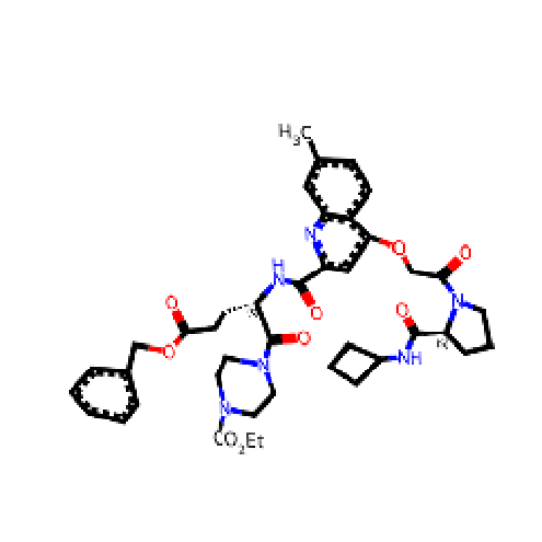 CCOC(=O)N1CCN(C(=O)[C@H](CCC(=O)OCc2ccccc2)NC(=O)c2cc(OCC(=O)N3CCC[C@H]3C(=O)NC3CCC3)c3ccc(C)cc3n2)CC1